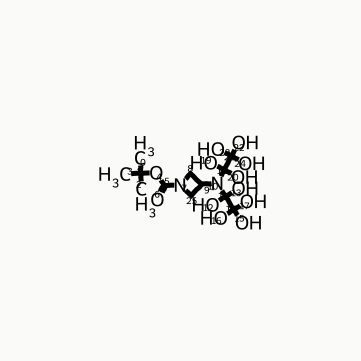 CC(C)(C)OC(=O)N1CC(N(C(O)(O)C(O)(O)O)C(O)(O)C(O)(O)O)C1